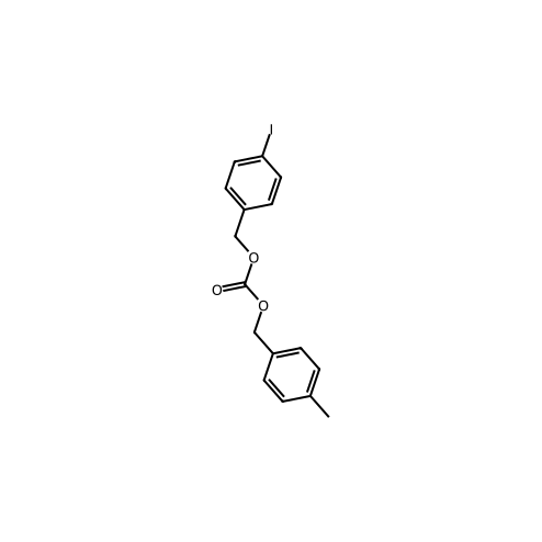 Cc1ccc(COC(=O)OCc2ccc(I)cc2)cc1